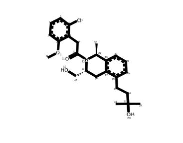 COc1cccc(Cl)c1CC(=O)N1[C@@H](CO)Cc2c(CCC(C)(C)O)cccc2[C@@H]1C